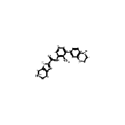 Cc1c(NC(=O)c2nc3c(s2)CNCC3)cncc1-c1ccc2c(c1)OCCO2